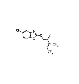 CN(CC(F)(F)F)C(=O)COc1nc2cc(Cl)ccc2o1